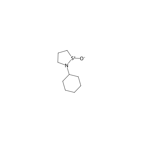 [O-][S+]1CCCN1C1CCCCC1